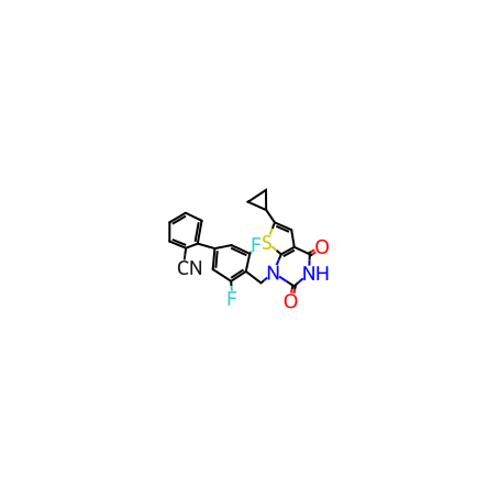 N#Cc1ccccc1-c1cc(F)c(Cn2c(=O)[nH]c(=O)c3cc(C4CC4)sc32)c(F)c1